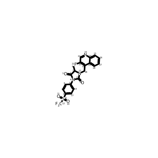 CC1C(=O)N(c2ccc(S(=O)(=O)C(F)(F)F)cc2)C(=O)N1Cc1c(F)cnc2ccccc12